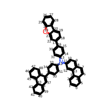 c1ccc2c(c1)ccc1ccc(N(c3ccc(-c4ccc5c(c4)oc4ccccc45)cc3)c3ccc(-c4cc5ccccc5c5ccccc45)cc3)cc12